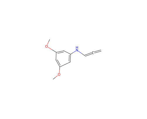 C=C=CNc1cc(OC)cc(OC)c1